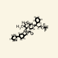 CC(C)C(=O)N1[C@H](C)CN([C@H](CCOC(F)(F)F)c2ccccc2)C[C@@H]1C(=O)NCc1ccc(-c2ncccn2)cc1